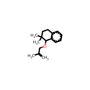 C=C(C)COC1c2ccccc2CCC1(C)C